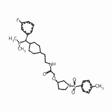 Cc1ccc(S(=O)(=O)N2CCC(OCC(=O)NCCC3CCC(C(c4cccc(F)c4)N(C)C)CC3)C2)cc1